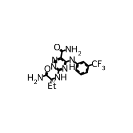 CC[C@@H](Nc1nnc(C(N)=O)c(Nc2cccc(C(F)(F)F)c2)n1)C(N)=O